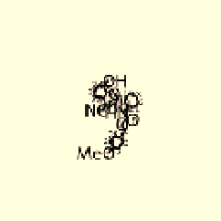 COc1ccc(COC(=O)N[C@@H]2CCCC[C@H]2C(=O)NC(C#N)c2cccc(O)c2)cc1